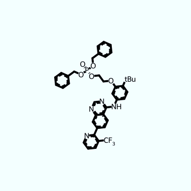 CC(C)(C)c1ccc(Nc2ncnc3cc(-c4ncccc4C(F)(F)F)ccc23)cc1OCCOP(=O)(OCc1ccccc1)OCc1ccccc1